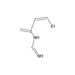 C=C(/C=C\CC)NC=N